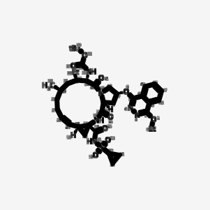 CCOc1nnc(O[C@@H]2C[C@H]3C(=O)N[C@]4(C(=O)NS(=O)(=O)C5CC5)C[C@H]4/C=C\CC[C@@H](C)C[C@@H](CC)[C@H](NC(=O)OC(C)(C)C)C(=O)N3C2)c2ccccc12